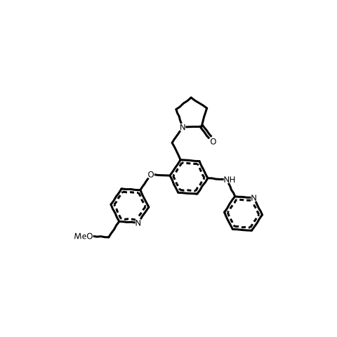 COCc1ccc(Oc2ccc(Nc3ccccn3)cc2CN2CCCC2=O)cn1